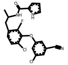 CC(Cc1ccc(Cl)c(Oc2cc(Cl)cc(C#N)c2)c1F)NC(=O)c1ccc[nH]1